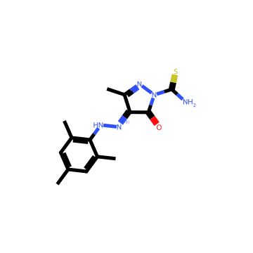 CC1=NN(C(N)=S)C(=O)/C1=N/Nc1c(C)cc(C)cc1C